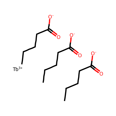 CCCCC(=O)[O-].CCCCC(=O)[O-].CCCCC(=O)[O-].[Tb+3]